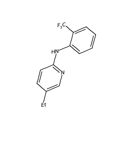 CCc1ccc(Nc2ccccc2C(F)(F)F)nc1